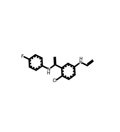 C=CNc1ccc(Cl)c(C(=C)Nc2ccc(F)cc2)c1